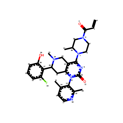 C=CC(=O)N1CCN(c2nc(=O)n(-c3c(C)ccnc3C)c3c2CN(C)C(c2c(O)cccc2F)C3)C(C)C1